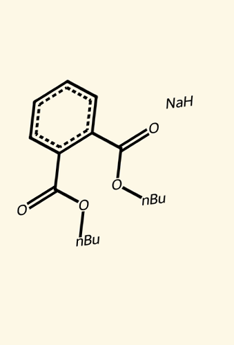 CCCCOC(=O)c1ccccc1C(=O)OCCCC.[NaH]